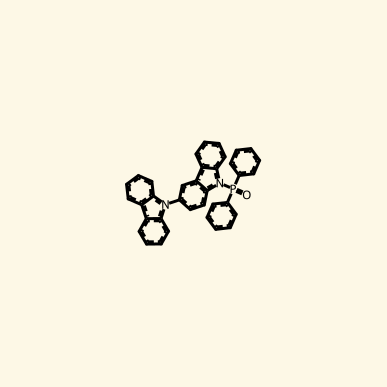 O=P(c1ccccc1)(c1ccccc1)n1c2ccccc2c2cc(-n3c4ccccc4c4ccccc43)ccc21